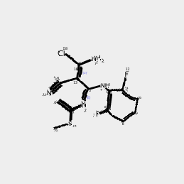 C=C(/N=C(Nc1c(F)cccc1F)\C(C#N)=C(/N)Cl)SC